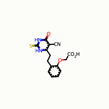 N#Cc1c(CCc2ccccc2OCC(=O)O)[nH]c(=S)[nH]c1=O